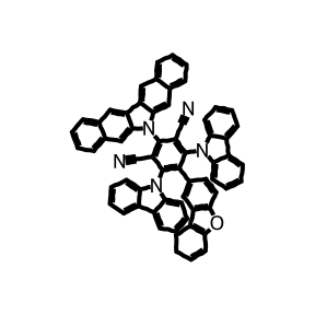 N#Cc1c(-n2c3cc4ccccc4cc3c3cc4ccccc4cc32)c(C#N)c(-n2c3ccccc3c3ccccc32)c(-c2ccc3oc4c(c3c2)CCC=C4)c1-n1c2ccccc2c2ccccc21